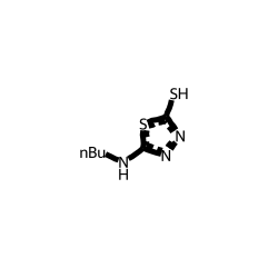 CCCCNc1nnc(S)s1